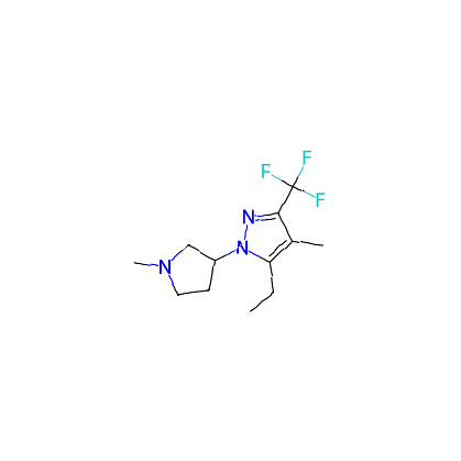 CCc1c(C)c(C(F)(F)F)nn1C1CCN(C)C1